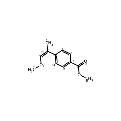 CO/C=C(/C)c1ccc(C(=O)OC)cc1